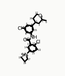 CC1CC(c2cc(Cl)cc(NC(=O)c3cc(N4CCCS4)ccc3Cl)c2)CCO1